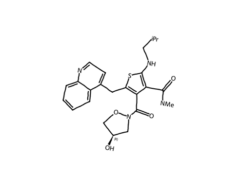 CNC(=O)c1c(NCC(C)C)sc(Cc2ccnc3ccccc23)c1C(=O)N1C[C@@H](O)CO1